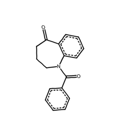 O=C1CCCN(C(=O)c2ccccc2)c2ccccc21